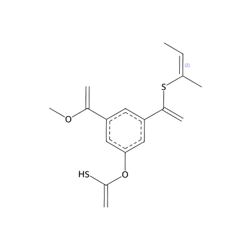 C=C(S)Oc1cc(C(=C)OC)cc(C(=C)S/C(C)=C\C)c1